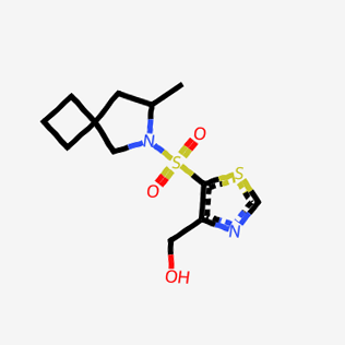 CC1CC2(CCC2)CN1S(=O)(=O)c1scnc1CO